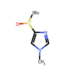 Cn1cnc([S+]([O-])C(C)(C)C)c1